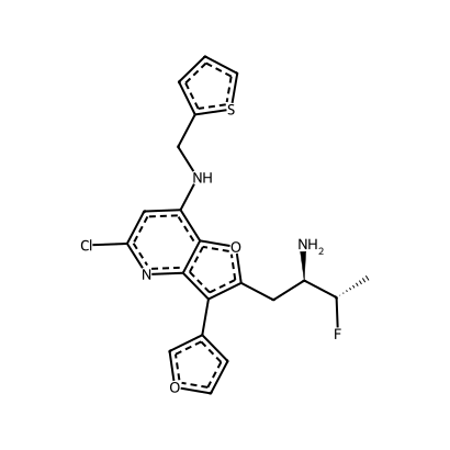 C[C@H](F)[C@H](N)Cc1oc2c(NCc3cccs3)cc(Cl)nc2c1-c1ccoc1